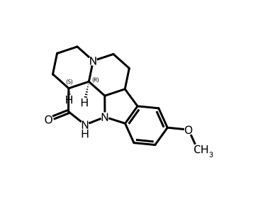 COc1ccc2c(c1)C1CCN3CCC[C@@H]4C(=O)NN2C1[C@@H]43